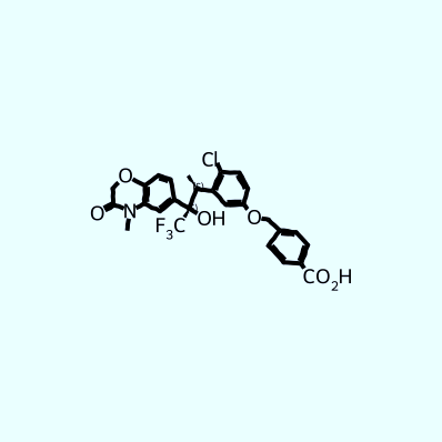 C[C@@H](c1cc(OCc2ccc(C(=O)O)cc2)ccc1Cl)[C@](O)(c1ccc2c(c1)N(C)C(=O)CO2)C(F)(F)F